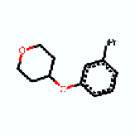 CC(C)c1cccc(OC2CCOCC2)c1